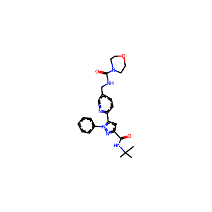 CC(C)(C)NC(=O)c1cc(-c2ccc(CNC(=O)N3CCOCC3)cn2)n(-c2ccccc2)n1